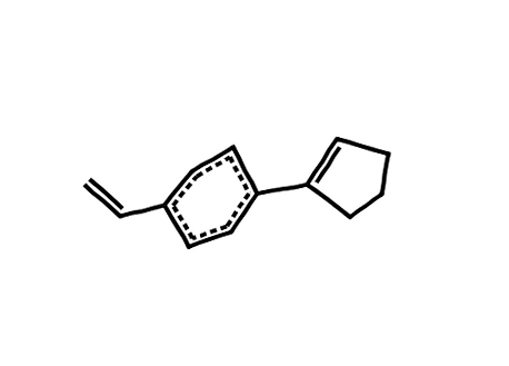 C=Cc1ccc(C2=CCCC2)cc1